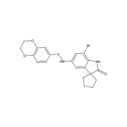 O=C1Nc2c(Br)cc(NSc3ccc4c(c3)OCCO4)cc2C12CCCC2